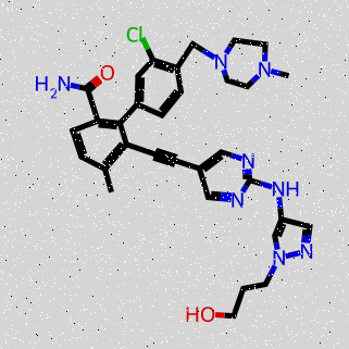 Cc1ccc(C(N)=O)c(-c2ccc(CN3CCN(C)CC3)c(Cl)c2)c1C#Cc1cnc(Nc2cnn(CCCO)c2)nc1